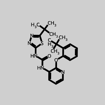 CC(C)(C)c1nnc(NC(=O)Nc2cccnc2Oc2ccccc2C(C)(C)C)s1